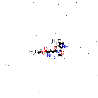 C=CCOC(=O)[C@@H](N)CCC(=O)N1CCOC1[C@@H]1CC(=C)CN1